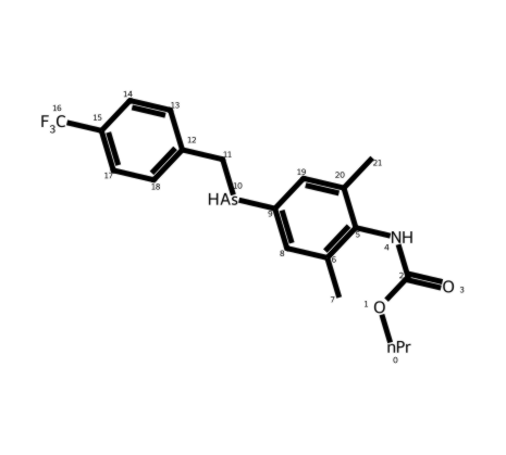 CCCOC(=O)Nc1c(C)cc([AsH]Cc2ccc(C(F)(F)F)cc2)cc1C